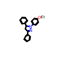 CCOc1ccc(N2N=C(c3ccccc3)CC2c2ccccc2)cc1